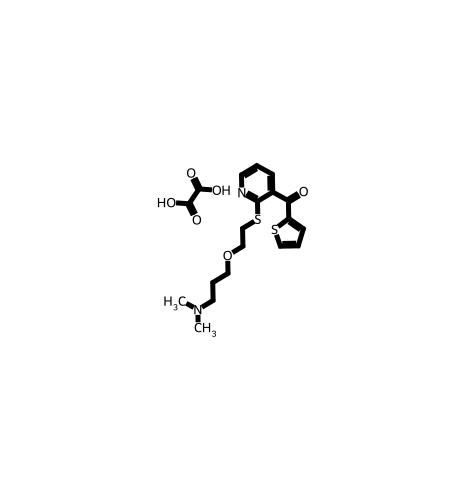 CN(C)CCCOCCSc1ncccc1C(=O)c1cccs1.O=C(O)C(=O)O